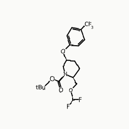 CC(C)(C)OC(=O)N1C[C@@H](Oc2ccc(C(F)(F)F)cc2)CC[C@H]1COC(F)F